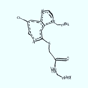 CCCCCCNC(=O)CSc1ncc(Cl)c2ncn(CCCC)c12